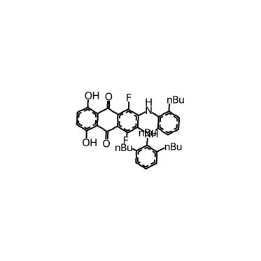 CCCCc1cccc(CCCC)c1Nc1c(F)c2c(c(F)c1Nc1c(CCCC)cccc1CCCC)C(=O)c1c(O)ccc(O)c1C2=O